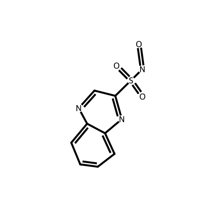 O=NS(=O)(=O)c1cnc2ccccc2n1